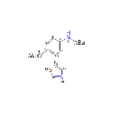 COc1ccc(NC(C)(C)C)cc1-c1cncs1